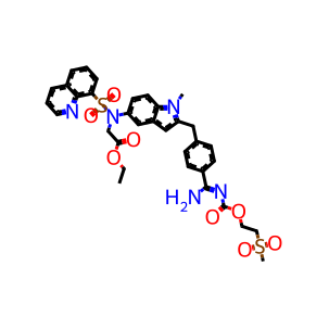 CCOC(=O)CN(c1ccc2c(c1)cc(Cc1ccc(C(N)=NC(=O)OCCS(C)(=O)=O)cc1)n2C)S(=O)(=O)c1cccc2cccnc12